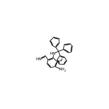 N=Cc1ccc(N)c(F)c1NC(c1ccccc1)(c1ccccc1)c1ccccc1